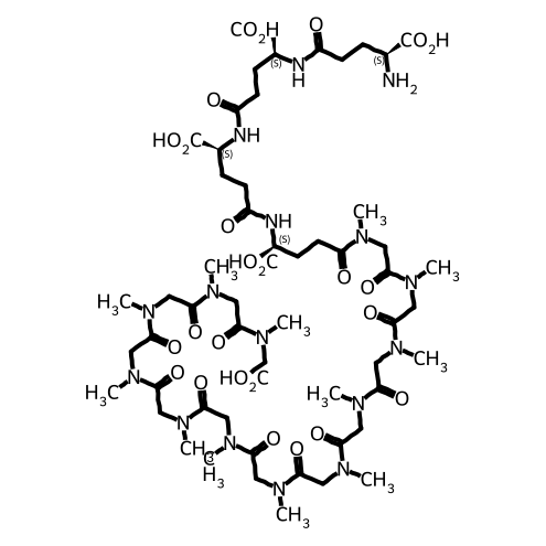 CN(CC(=O)O)C(=O)CN(C)C(=O)CN(C)C(=O)CN(C)C(=O)CN(C)C(=O)CN(C)C(=O)CN(C)C(=O)CN(C)C(=O)CN(C)C(=O)CN(C)C(=O)CN(C)C(=O)CN(C)C(=O)CC[C@H](NC(=O)CC[C@H](NC(=O)CC[C@H](NC(=O)CC[C@H](N)C(=O)O)C(=O)O)C(=O)O)C(=O)O